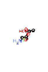 NCc1cccc(-c2cc(COc3cc(-c4ccccc4)ccc3CC(=O)O)cc3ccoc23)c1F